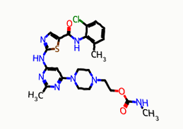 CNC(=O)OCCN1CCN(c2cc(Nc3ncc(C(=O)Nc4c(C)cccc4Cl)s3)nc(C)n2)CC1